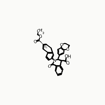 CCOC(=O)[C@H]1CCc2cc(N3C(=O)c4ccccc4C(C(=O)O)C3c3ccc4c(c3)OCCO4)ccc2C1